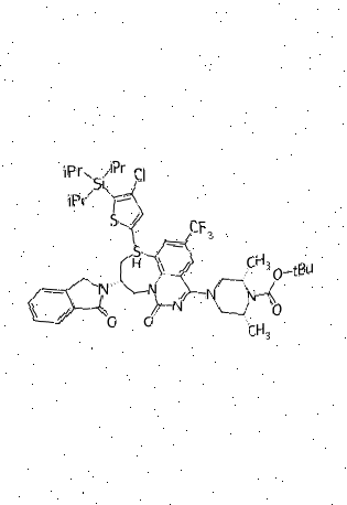 CC(C)[Si](c1sc([SH]2C[C@@H](N3Cc4ccccc4C3=O)Cn3c(=O)nc(N4C[C@@H](C)N(C(=O)OC(C)(C)C)[C@@H](C)C4)c4cc(C(F)(F)F)cc2c43)cc1Cl)(C(C)C)C(C)C